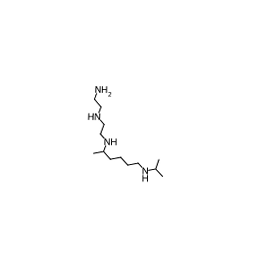 CC(C)NCCCCC(C)NCCNCCN